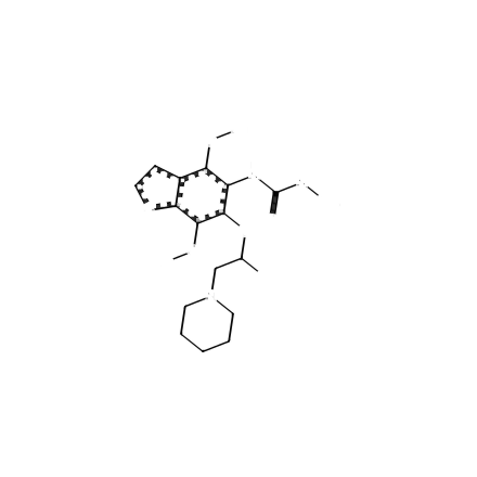 CNC(=O)Nc1c(OC(C)CN2CCCCC2)c(OC)c2occc2c1OC